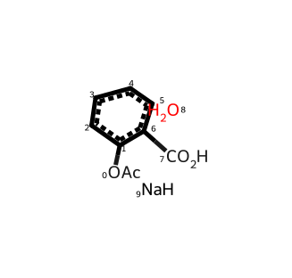 CC(=O)Oc1ccccc1C(=O)O.O.[NaH]